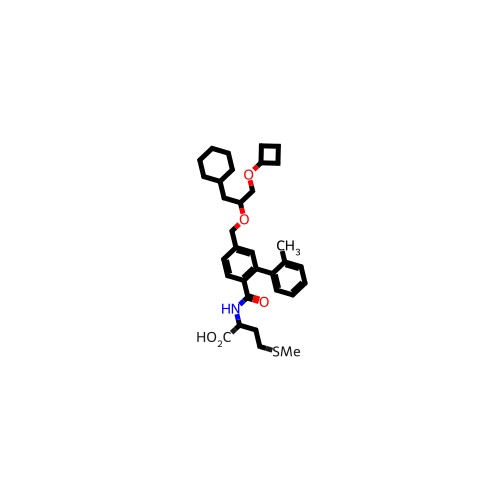 CSCCC(NC(=O)c1ccc(COC(COC2CCC2)CC2CCCCC2)cc1-c1ccccc1C)C(=O)O